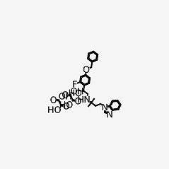 CC(C)(CCn1cnc2ccccc21)NCC(O)c1ccc(OCc2ccccc2)cc1F.O=C(O)C(=O)O.O=C(O)C(=O)O